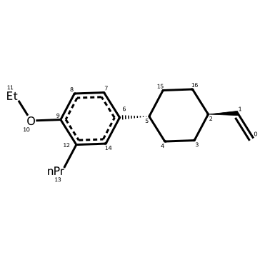 C=C[C@H]1CC[C@H](c2ccc(OCC)c(CCC)c2)CC1